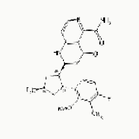 COc1c([C@@H]2C[C@@H](C(F)(F)F)C[C@H]2c2cc(=O)c3c(C(N)=O)nccc3[nH]2)ccc(F)c1C